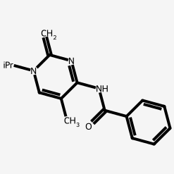 C=C1N=C(NC(=O)c2ccccc2)C(C)=CN1C(C)C